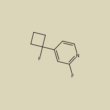 Fc1cc(C2(F)CCC2)ccn1